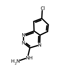 NNc1nnc2cc(Cl)ccc2n1